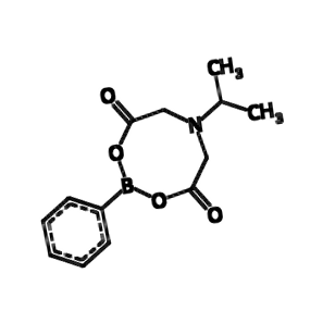 CC(C)N1CC(=O)OB(c2ccccc2)OC(=O)C1